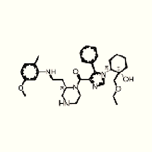 CCOC[C@]1(O)CCCC[C@H]1n1cnc(C(=O)N2CCNC[C@H]2CCNc2cc(OC)ccc2C)c1-c1ccccc1